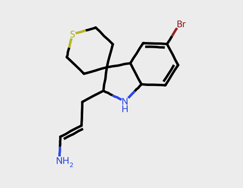 NC=CCC1NC2C=CC(Br)=CC2C12CCSCC2